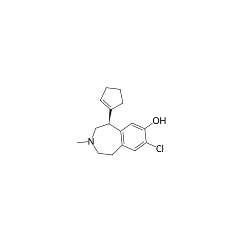 CN1CCc2cc(Cl)c(O)cc2[C@H](C2=CCCC2)C1